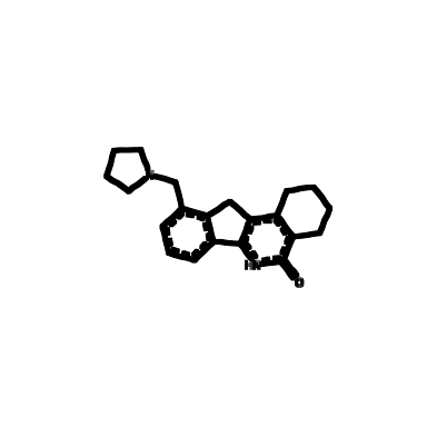 O=c1[nH]c2c(c3c1CCCC3)Cc1c(CN3CCCC3)cccc1-2